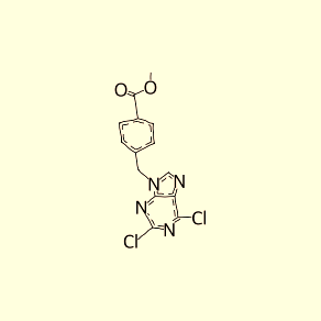 COC(=O)c1ccc(Cn2cnc3c(Cl)nc(Cl)nc32)cc1